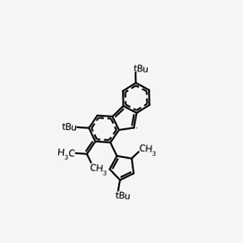 CC(C)=c1c(C(C)(C)C)cc2c(c1C1=CC(C(C)(C)C)=CC1C)[C]=c1ccc(C(C)(C)C)cc1=2